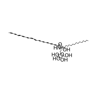 CC#CC#CC#CC#CC#CC#CC#CC#CC#CC#CC#CC#CC(=O)N[C@@H](CCC1OC(CO)C(O)C(O)C1O)[C@H](C)C(O)CCCCCCCCCCCCCC